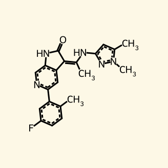 C/C(Nc1cc(C)n(C)n1)=C1/C(=O)Nc2cnc(-c3cc(F)ccc3C)cc21